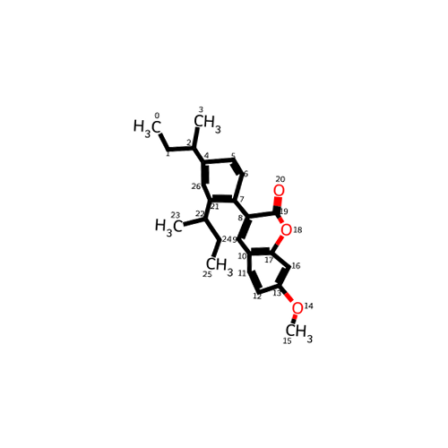 CCC(C)c1ccc(-c2cc3ccc(OC)cc3oc2=O)c(C(C)CC)c1